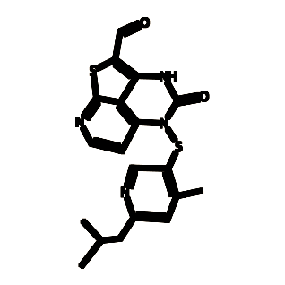 Cc1cc(CC(C)C)ncc1SN1C(=O)Nc2c(C=O)sc3nccc1c23